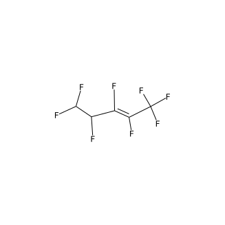 FC(=C(F)C(F)(F)F)C(F)C(F)F